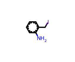 Nc1ccccc1CI